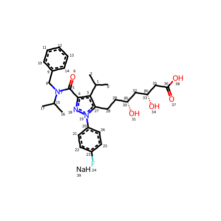 CC(C)c1c(C(=O)N(Cc2ccccc2)C(C)C)nn(-c2ccc(F)cc2)c1CC[C@@H](O)C[C@@H](O)CC(=O)O.[NaH]